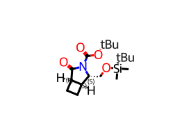 CC(C)(C)OC(=O)N1C(=O)[C@@H]2CC[C@@H]2[C@H]1CO[Si](C)(C)C(C)(C)C